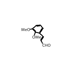 COc1cccc(C=CC=O)c1OC